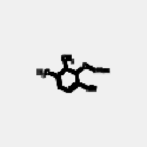 CCCCCCOC1C(CCC)=CC=C(C)C1C